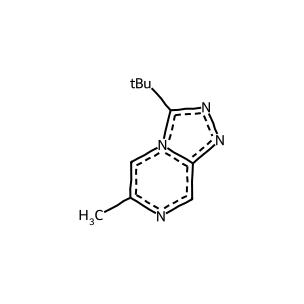 Cc1cn2c(C(C)(C)C)nnc2cn1